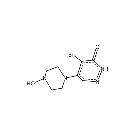 O=c1[nH]ncc(N2CCN(O)CC2)c1Br